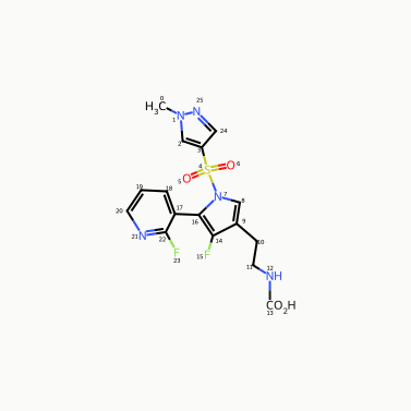 Cn1cc(S(=O)(=O)n2cc(CCNC(=O)O)c(F)c2-c2cccnc2F)cn1